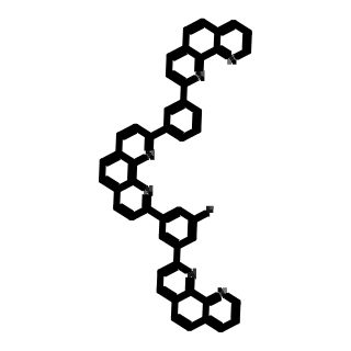 Fc1cc(-c2ccc3ccc4cccnc4c3n2)cc(-c2ccc3ccc4ccc(-c5cccc(-c6ccc7ccc8cccnc8c7n6)c5)nc4c3n2)c1